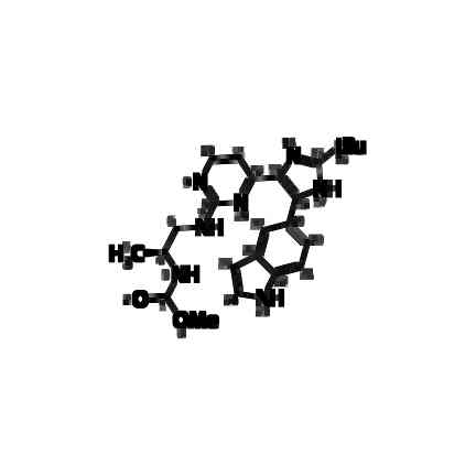 COC(=O)N[C@@H](C)CNc1nccc(-c2nc(C(C)(C)C)[nH]c2-c2ccc3[nH]ccc3c2)n1